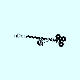 CCCCCCCCCCCCCCCCCCOCC(CSCCOCCOC(c1ccccc1)(c1ccccc1)c1ccccc1)Oc1ncccn1